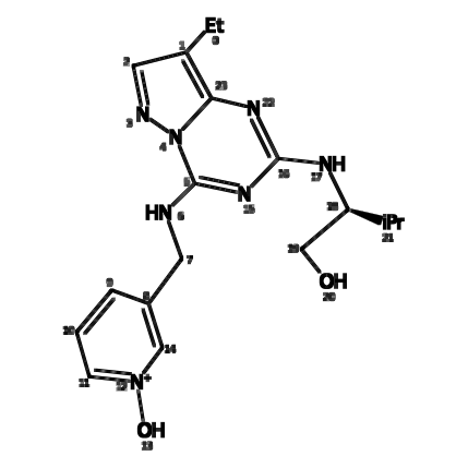 CCc1cnn2c(NCc3ccc[n+](O)c3)nc(N[C@H](CO)C(C)C)nc12